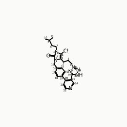 CCCc1c(Cl)n(CCC(C)C)c(=O)n1Cc1ccc(-c2ccncc2-c2nnn[nH]2)cc1